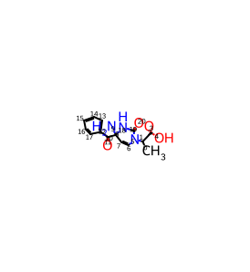 CC(C(=O)O)N1C=CC(N)(C(=O)c2ccccc2)NC1=O